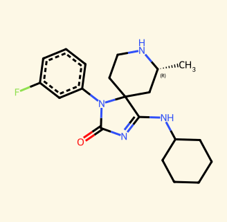 C[C@@H]1CC2(CCN1)C(NC1CCCCC1)=NC(=O)N2c1cccc(F)c1